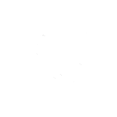 CCS(=O)(=O)N(c1cc(-c2cn(C)c(=O)c3[nH]ccc23)c(Oc2ccc(F)cc2F)cc1CN(C)C)N(C)C